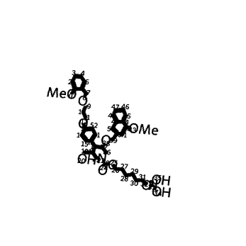 COc1ccccc1COCCCOc1ccc(C2C(CO)CN(C(=O)OCCCCCCON(O)O)CC2OCc2cc(OC)c3ccccc3c2)cc1